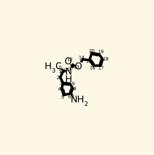 C[C@H](Cc1ccc(N)cc1)NC(=O)OCc1ccccc1